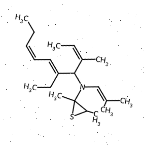 C/C=C(/C)C(/C(=C/C=C\CC)CC)N(C=C(C)C)C1(C)SC1C